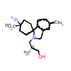 Cc1ccc2c(c1)CN(C[C@@H](C)CO)C21CCC(N)(C(=O)O)CC1